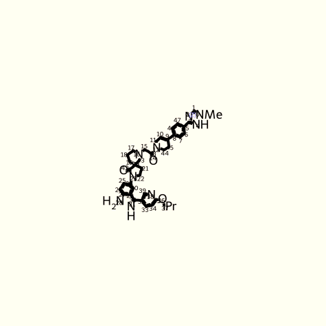 CN/C=N\C(=N)c1ccc(C2=CCN(C(=O)CN3CCC[C@]4(CCN(c5ccc(N)c(C(=N)c6ccc(OC(C)C)nc6)c5)C4=O)C3)CC2)cc1